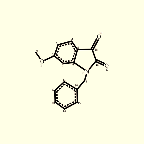 COc1ccc2c(c1)N(Cc1ccccc1)C(=O)C2=O